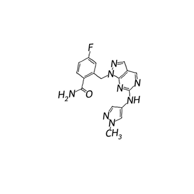 Cn1cc(Nc2ncc3cnn(Cc4cc(F)ccc4C(N)=O)c3n2)cn1